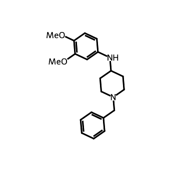 COc1ccc(NC2CCN(Cc3ccccc3)CC2)cc1OC